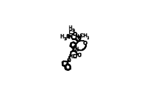 CC(=O)N(C)Cc1nn(C)c2c1-c1cccc3c(CCCOc4cccc5ccccc45)c(C(=O)O)n(c13)CCCCOC2